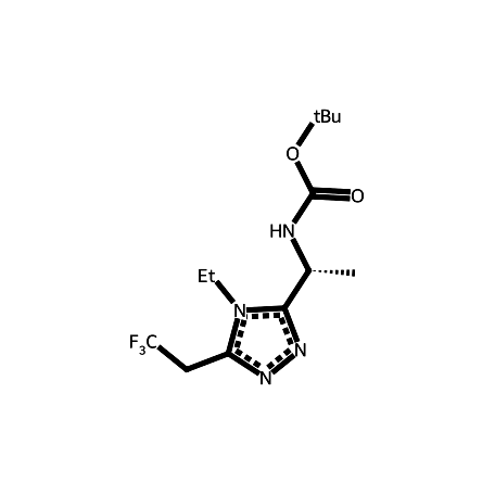 CCn1c(CC(F)(F)F)nnc1[C@@H](C)NC(=O)OC(C)(C)C